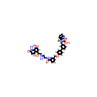 O=C(NCCNC[C@H](O)c1ccc(O)c2[nH]c(=O)ccc12)c1cccc(COc2ccc(-c3cccc(CN(C(=O)O)[C@H]4CN5CCC4CC5)c3)cc2)c1